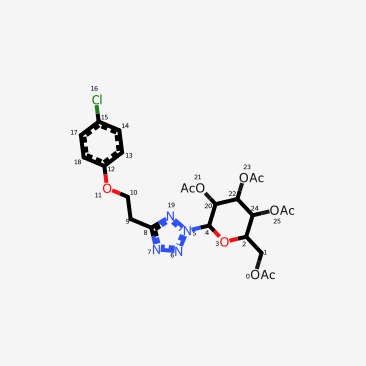 CC(=O)OCC1OC(n2nnc(CCOc3ccc(Cl)cc3)n2)C(OC(C)=O)C(OC(C)=O)C1OC(C)=O